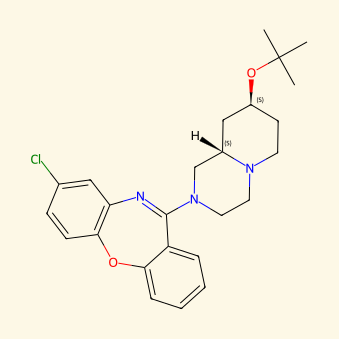 CC(C)(C)O[C@H]1CCN2CCN(C3=Nc4cc(Cl)ccc4Oc4ccccc43)C[C@@H]2C1